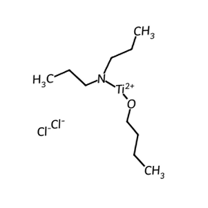 CCCC[O][Ti+2][N](CCC)CCC.[Cl-].[Cl-]